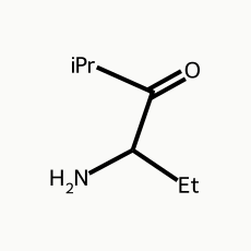 CCC(N)C(=O)C(C)C